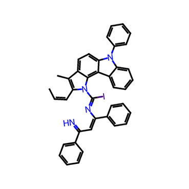 C/C=C\c1c(C)c2ccc3c(c4ccccc4n3-c3ccccc3)c2n1/C(I)=N/C(=C\C(=N)c1ccccc1)c1ccccc1